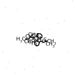 C1CCCCC1.CC(C(C)C(C)(C)C)C(C)(C)C.CC(C)(C)CCC1CCCCC1